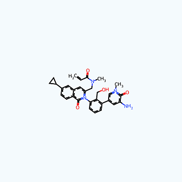 C=CC(=O)N(C)Cc1cc2cc(C3CC3)ccc2c(=O)n1-c1cccc(-c2cc(N)c(=O)n(C)c2)c1CO